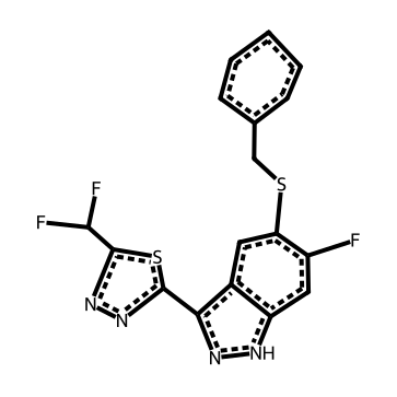 Fc1cc2[nH]nc(-c3nnc(C(F)F)s3)c2cc1SCc1ccccc1